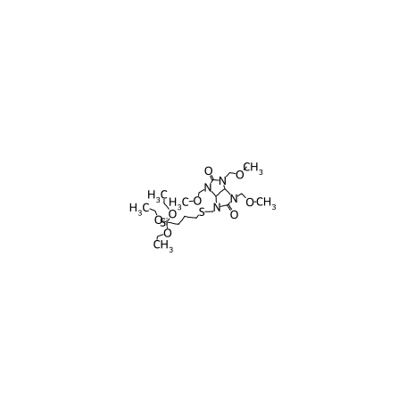 CCO[Si](CCCSCN1C(=O)N(COC)C2C1N(COC)C(=O)N2COC)(OCC)OCC